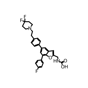 O=C(O)NCc1cc2cc(-c3ccc(CCN4CCC(F)(F)CC4)cc3)cc(-c3ccc(F)cc3)c2o1